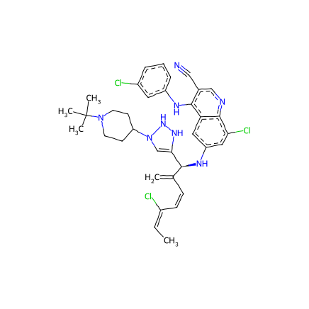 C=C(/C=C\C(Cl)=C/C)[C@H](Nc1cc(Cl)c2ncc(C#N)c(Nc3cccc(Cl)c3)c2c1)C1=CN(C2CCN(C(C)(C)C)CC2)NN1